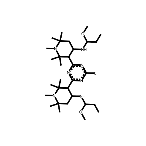 CCC(NC1CC(C)(C)N(C)C(C)(C)C1c1nc(Cl)nc(C2C(NC(CC)OC)CC(C)(C)N(C)C2(C)C)n1)OC